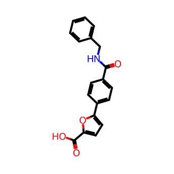 O=C(NCc1ccccc1)c1ccc(-c2ccc(C(=O)O)o2)cc1